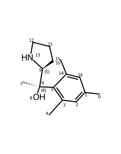 Cc1cc(C)c([C@@](C)(O)[C@@H]2CCCN2)c(C)c1